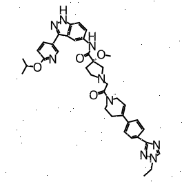 CCn1cnc(-c2ccc(C3=CCN(C(=O)CN4CC[C@@](OC)(C(=O)Nc5ccc6[nH]nc(-c7ccc(OC(C)C)nc7)c6c5)C4)CC3)cc2)n1